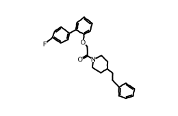 O=C(COc1ccccc1-c1ccc(F)cc1)N1CCC(CCc2ccccc2)CC1